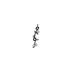 CCOC(=O)CCc1ccc(OCCc2nc(-c3ccc(F)cc3)oc2C)cc1CC